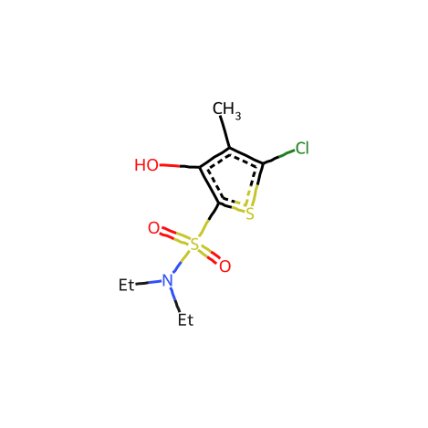 CCN(CC)S(=O)(=O)c1sc(Cl)c(C)c1O